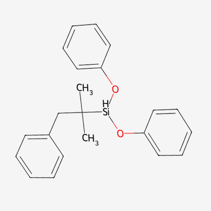 CC(C)(Cc1ccccc1)[SiH](Oc1ccccc1)Oc1ccccc1